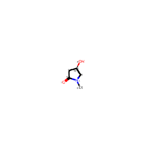 CCN1C[C@H](O)CC1=O